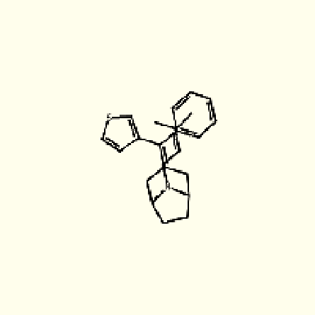 CC(C)=CCN1C2CCC1CC(=C(c1ccccc1)c1ccsc1)C2